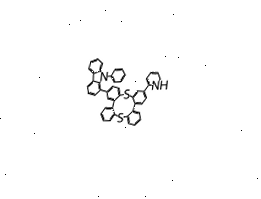 C1=CCNC(c2ccc3c(c2)Sc2ccc(-c4cccc5c6ccccc6n(-c6ccccc6)c45)cc2-c2ccccc2Sc2ccccc2-3)=C1